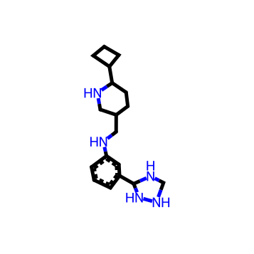 c1cc(NCC2CCC(C3CCC3)NC2)cc(C2NCNN2)c1